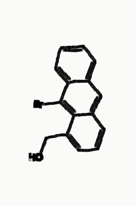 OCc1cccc2cc3ccccc3c(Br)c12